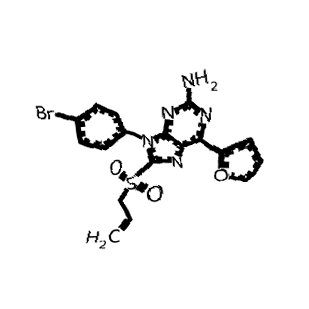 C=CCS(=O)(=O)c1nc2c(-c3ccco3)nc(N)nc2n1-c1ccc(Br)cc1